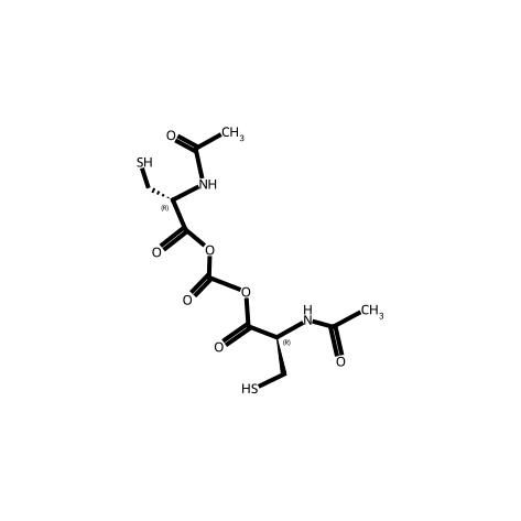 CC(=O)N[C@@H](CS)C(=O)OC(=O)OC(=O)[C@H](CS)NC(C)=O